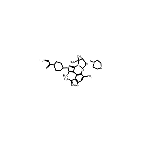 C=CC(=O)N1CCC(n2nc(N3CC[C@@H](CN4CCOCC4)CC3(C)C)c(-c3c(Cl)c(C)cc4[nH]nc(N)c34)c2C)CC1